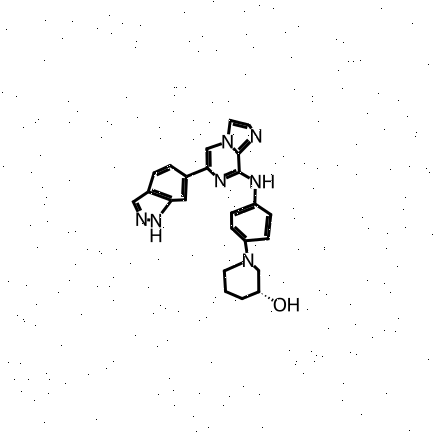 O[C@@H]1CCCN(c2ccc(Nc3nc(-c4ccc5cn[nH]c5c4)cn4ccnc34)cc2)C1